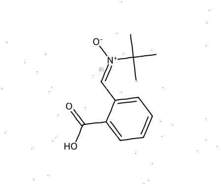 CC(C)(C)/[N+]([O-])=C\c1ccccc1C(=O)O